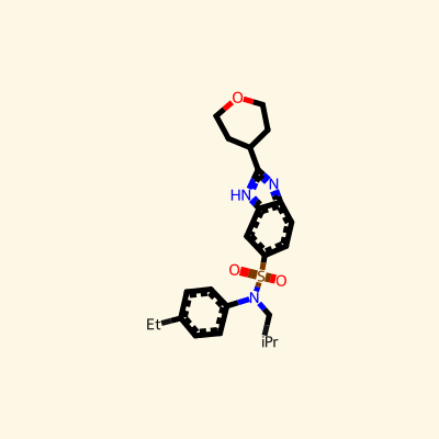 CCc1ccc(N(CC(C)C)S(=O)(=O)c2ccc3nc(C4CCOCC4)[nH]c3c2)cc1